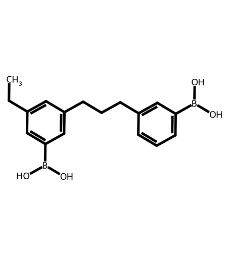 CCc1cc(CCCc2cccc(B(O)O)c2)cc(B(O)O)c1